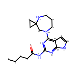 CCCCC(=O)Nc1nc(N2CCCNC3(CC3)C2)c2cc[nH]c2n1